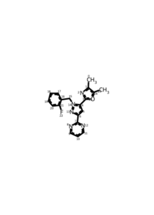 Cc1nc(-c2cc(-c3ncccn3)nn2Cc2ccccc2F)oc1C